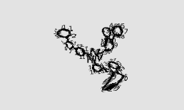 c1ccc(-c2cccc(-c3ccc(-c4nc(-c5cccc(-n6c7ccccc7c7ccccc76)c5)nc(-c5ccc6c(c5)oc5ccccc56)n4)cc3)c2)cc1